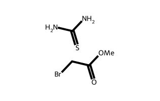 COC(=O)CBr.NC(N)=S